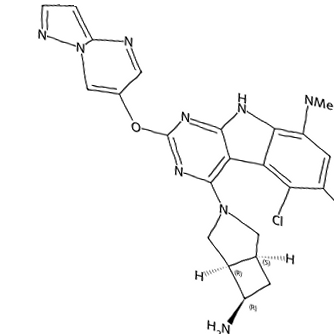 CNc1cc(F)c(Cl)c2c1[nH]c1nc(Oc3cnc4ccnn4c3)nc(N3C[C@H]4C[C@@H](N)[C@H]4C3)c12